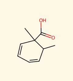 CC1C=CC=CC1(C)C(=O)O